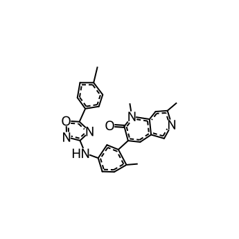 Cc1ccc(-c2nc(Nc3ccc(C)c(-c4cc5cnc(C)cc5n(C)c4=O)c3)no2)cc1